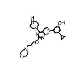 Oc1cc(C2CC2)cc(N2CCc3c(nc(OCCCN4CCOCC4)nc3N3CCNCC3)C2)c1